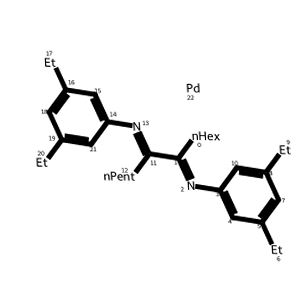 CCCCCCC(=N\c1cc(CC)cc(CC)c1)/C(CCCCC)=N/c1cc(CC)cc(CC)c1.[Pd]